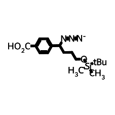 CC(C)(C)[Si](C)(C)OCCCC(N=[N+]=[N-])c1ccc(C(=O)O)cc1